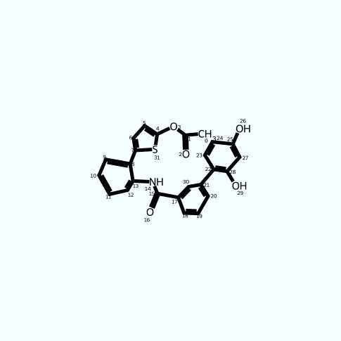 CC(=O)Oc1ccc(-c2ccccc2NC(=O)c2cccc(-c3ccc(O)cc3O)c2)s1